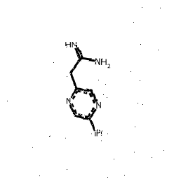 CC(C)c1cnc(CC(=N)N)cn1